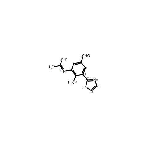 CCC/C(C)=N\c1cc(C=O)cc(-c2nccs2)c1C